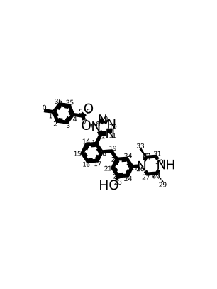 Cc1ccc(C(=O)On2nnnc2-c2ccccc2Cc2cc(O)cc(N3C[C@@H](C)NC[C@@H]3C)c2)cc1